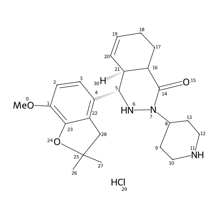 COc1ccc([C@H]2NN(C3CCNCC3)C(=O)C3CCC=C[C@@H]32)c2c1OC(C)(C)C2.Cl